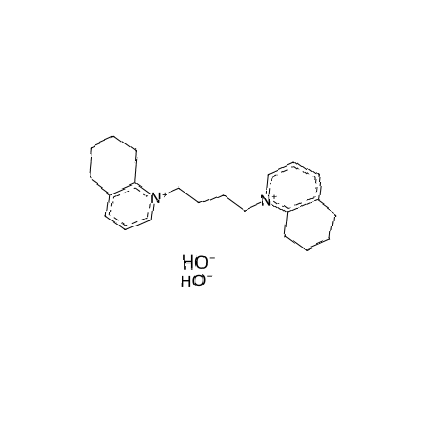 [OH-].[OH-].c1cc2c([n+](CCCC[n+]3cccc4c3CCCC4)c1)CCCC2